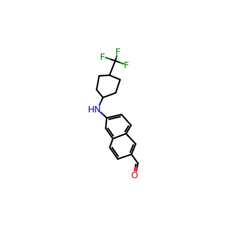 O=Cc1ccc2cc(NC3CCC(C(F)(F)F)CC3)ccc2c1